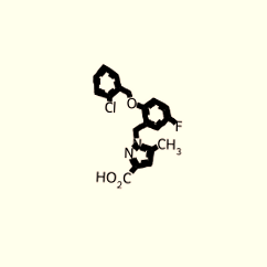 Cc1cc(C(=O)O)nn1Cc1cc(F)ccc1OCc1ccccc1Cl